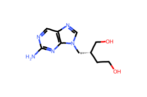 Nc1ncc2ncn(C[C@H](CO)CCO)c2n1